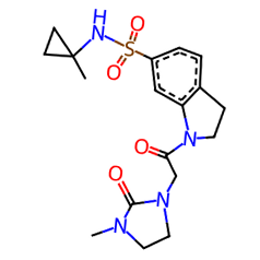 CN1CCN(CC(=O)N2CCc3ccc(S(=O)(=O)NC4(C)CC4)cc32)C1=O